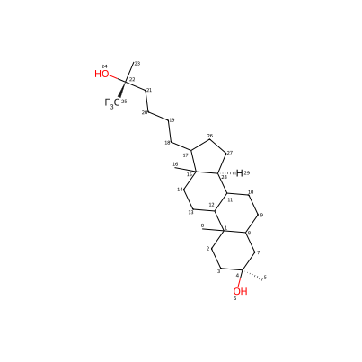 CC12CC[C@](C)(O)CC1CCC1C2CCC2(C)C(CCCC[C@@](C)(O)C(F)(F)F)CC[C@@H]12